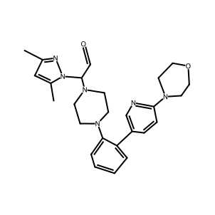 Cc1cc(C)n(C(C=O)N2CCN(c3ccccc3-c3ccc(N4CCOCC4)nc3)CC2)n1